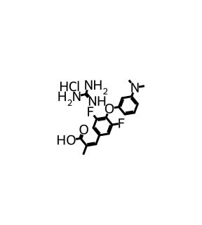 CC(=Cc1cc(F)c(Oc2cccc(N(C)C)c2)c(F)c1)C(=O)O.Cl.N=C(N)N